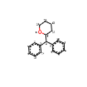 c1ccc(C(c2ccccc2)C2CCCCO2)cc1